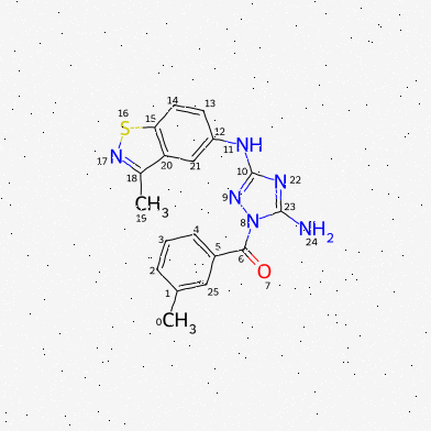 Cc1cccc(C(=O)n2nc(Nc3ccc4snc(C)c4c3)nc2N)c1